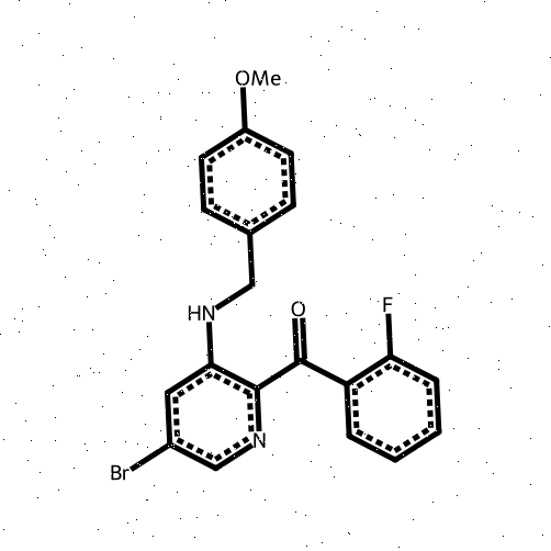 COc1ccc(CNc2cc(Br)cnc2C(=O)c2ccccc2F)cc1